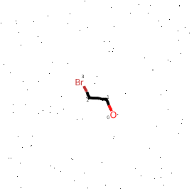 [O]C[CH]Br